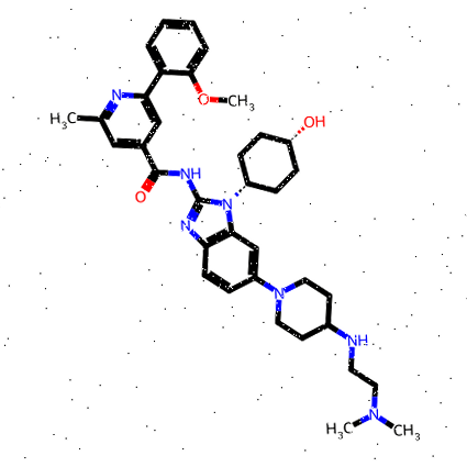 COc1ccccc1-c1cc(C(=O)Nc2nc3ccc(N4CCC(NCCN(C)C)CC4)cc3n2[C@H]2CC[C@@H](O)CC2)cc(C)n1